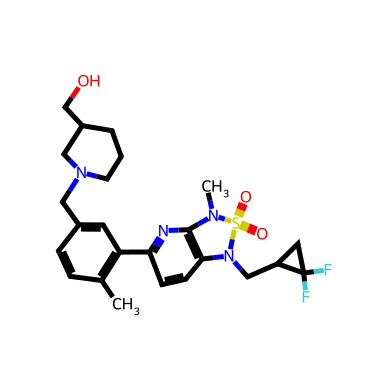 Cc1ccc(CN2CCCC(CO)C2)cc1-c1ccc2c(n1)N(C)S(=O)(=O)N2CC1CC1(F)F